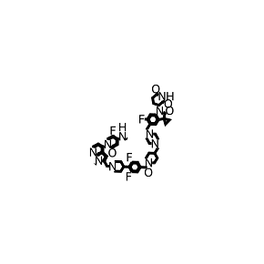 CNc1cc(=O)n(-c2ccnc3c2cc(CN2CCC(c4c(F)cc(C(=O)N5CCC(CN6CCN(Cc7cc8c(cc7F)N(C7CCC(=O)NC7=O)C(=O)C87CC7)CC6)CC5)cc4F)CC2)n3C)cc1F